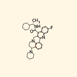 C[C@H](NC(=O)c1c(CN2CCC(N3CCCCC3)CC2)c(-c2ccccc2)nc2cc(F)ccc12)C1CCCCC1